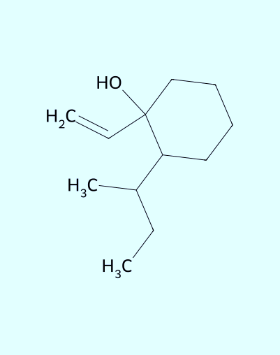 C=CC1(O)CCCCC1C(C)CC